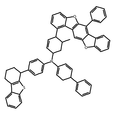 CC1CC(N(C2=CCC(c3ccccc3)C=C2)c2ccc(C3CCCc4c3sc3ccccc43)cc2)C=CC1c1cccc2oc3c(-c4ccccc4)c4c(cc3c12)oc1ccccc14